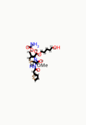 CO[C@@]1(NC(=O)Cc2cccs2)C(=O)N2C(C(=O)OCCCCCO)=C(COC(N)=O)CS[C@@H]21